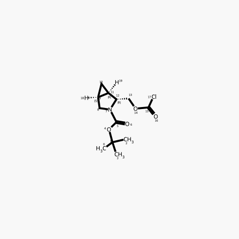 CC(C)(C)OC(=O)N1C[C@H]2C[C@H]2[C@@H]1COC(=O)Cl